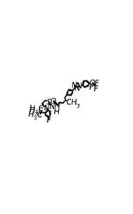 CC(CCNC(=O)/N=C1\SCCC(C)N1c1ccc(F)cc1C(C)C)Cc1ccc(-c2ncn(-c3ccc(OC(F)(F)F)cc3)n2)cc1